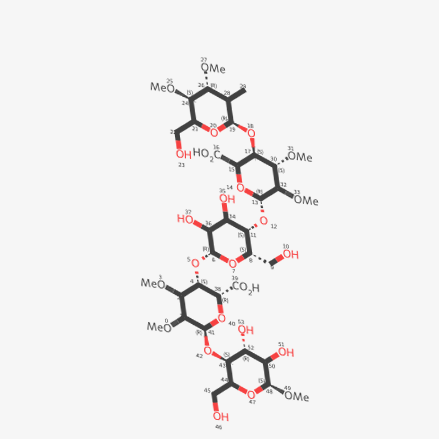 COC1C(OC)[C@H](O[C@H]2O[C@@H](CO)[C@@H](O[C@@H]3OC(C(=O)O)[C@@H](O[C@H]4OC(CO)[C@@H](OC)[C@H](OC)C4C)[C@H](OC)C3OC)C(O)C2O)[C@H](C(=O)O)O[C@H]1O[C@@H]1C(CO)O[C@H](OC)C(O)[C@H]1O